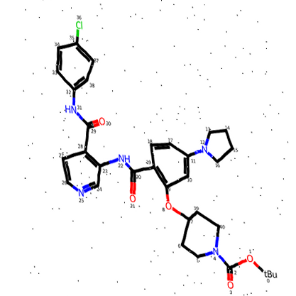 CC(C)(C)OC(=O)N1CCC(Oc2cc(N3CCCC3)ccc2C(=O)Nc2cnccc2C(=O)Nc2ccc(Cl)cc2)CC1